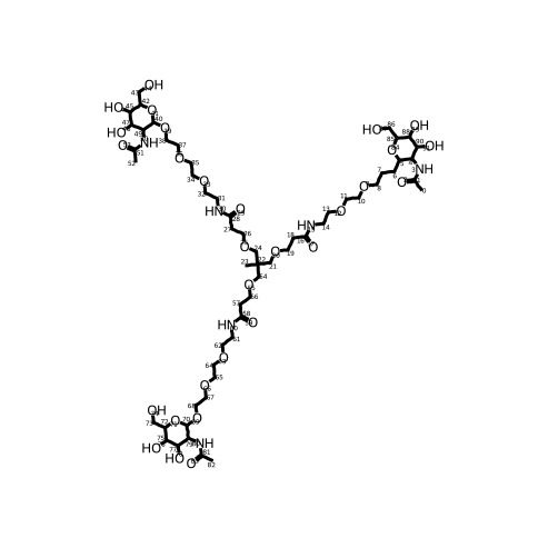 CC(=O)NC1C(CCCOCCOCCNC(=O)CCOCC(C)(COCCC(=O)NCCOCCOCCOC2OC(CO)C(O)C(O)C2NC(C)=O)COCCC(=O)NCCOCCOCCOC2OC(CO)C(O)C(O)C2NC(C)=O)OC(CO)C(O)C1O